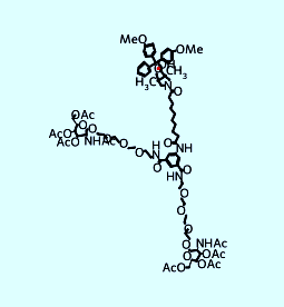 COc1ccc(C(OCC2(C)CN(C(=O)CCCCCCCCC(=O)Nc3cc(C(=O)NCCOCCOCCOCCOC4O[C@H](COC(C)=O)[C@H](OC(C)=O)[C@H](OC(C)=O)[C@H]4NC(C)=O)cc(C(=O)NCCOCCOCCOCCOC4O[C@H](COC(C)=O)[C@H](OC(C)=O)[C@H](OC(C)=O)[C@H]4NC(C)=O)c3)CC2(C)CO)(c2ccccc2)c2ccc(OC)cc2)cc1